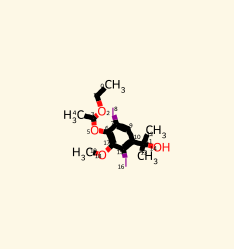 CCOC(C)Oc1c(I)cc(C(C)(C)O)c(I)c1OC